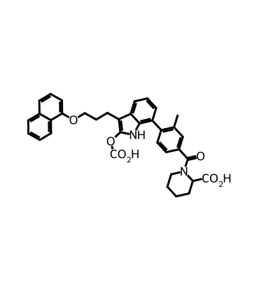 Cc1cc(C(=O)N2CCCCC2C(=O)O)ccc1-c1cccc2c(CCCOc3cccc4ccccc34)c(OC(=O)O)[nH]c12